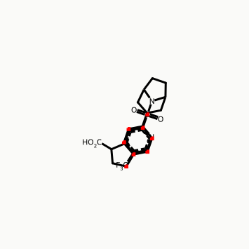 O=C(O)C1CCc2ccc(S(=O)(=O)N3C4CCC3CC(c3ccc(C(F)(F)F)cn3)C4)cc21